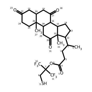 CC(CCC(=O)OC(CS)(C(F)(F)F)C(F)(F)F)C1CCC2C3C(=O)CC4CC(=O)CCC4(C)C3CC(=O)C12C